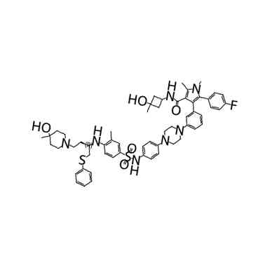 Cc1cc(S(=O)(=O)Nc2ccc(N3CCN(c4cccc(-c5c(C(=O)NC6CC(C)(O)C6)c(C)n(C)c5-c5ccc(F)cc5)c4)CC3)cc2)ccc1N[C@H](CCN1CCC(C)(O)CC1)CSc1ccccc1